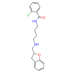 O=C(NCCCCNCC1Cc2ccccc2O1)c1ccccc1F